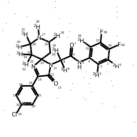 [2H]c1c([2H])c(NC(=O)C([2H])([2H])N2C(=O)C(c3ccc(Cl)cc3)=NC23CC([2H])N([2H])C([2H])([2H])C3([2H])[2H])c([2H])c(F)c1F